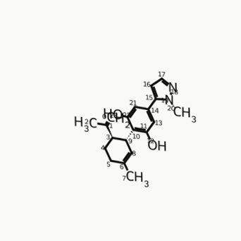 C=C(C)[C@@H]1CCC(C)=C[C@H]1c1c(O)cc(-c2ccnn2C)cc1O